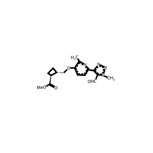 COC(=O)[C@H]1CC[C@@H]1COc1ccc(-c2nnn(C)c2C=O)nc1C